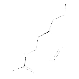 CCCCCCOC(C)=O.[O]=[Ag]